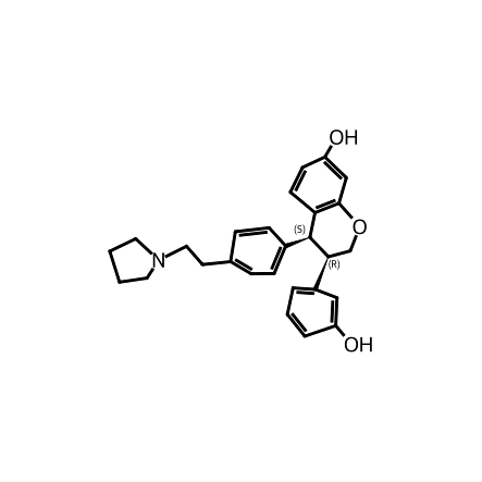 Oc1cccc([C@@H]2COc3cc(O)ccc3[C@@H]2c2ccc(CCN3CCCC3)cc2)c1